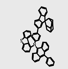 c1ccc(-c2c3ccccc3c(N(c3ccc(-c4ccc5c(c4)C4(c6ccccc6-5)C5CC6CC(C5)CC4C6)cc3)c3cccc4sc5ccccc5c34)c3ccccc23)cc1